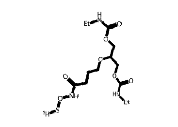 [3H]SONC(=O)CCCOC(COC(=O)NCC)COC(=O)NCC